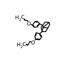 C=CCOc1ccc(C23CC4CC(C2)CC(c2ccc(OCC=C)cc2)(C4)C3)cc1